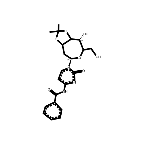 CC1(C)OC2C[C@H](n3ccc(NC(=O)c4ccccc4)nc3=O)OC(CO)[C@@H](O)C2O1